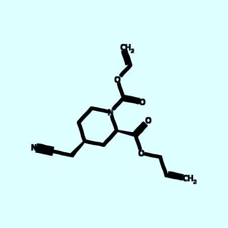 C=CCOC(=O)[C@H]1C[C@@H](CC#N)CCN1C(=O)OC=C